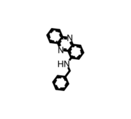 c1ccc(CNc2cccc3nc4ccccc4nc23)cc1